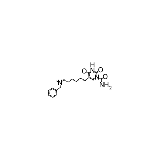 CN(CCCCCCc1cn(C(N)=O)c(=O)[nH]c1=O)Cc1ccccc1